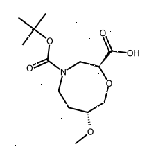 CO[C@@H]1CCN(C(=O)OC(C)(C)C)C[C@@H](C(=O)O)OC1